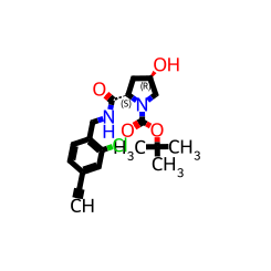 C#Cc1ccc(CNC(=O)[C@@H]2C[C@@H](O)CN2C(=O)OC(C)(C)C)c(Cl)c1